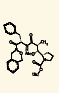 CO[C@H]([C@@H](C)C(=O)N[C@@H](Cc1ccccc1)C(=O)N1Cc2ccccc2CO1)[C@@H]1CCCN1C(=O)OC(C)(C)C